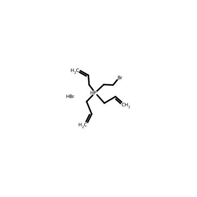 Br.C=CC[PH](CC=C)(CC=C)CCBr